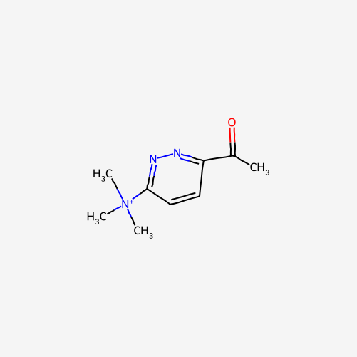 CC(=O)c1ccc([N+](C)(C)C)nn1